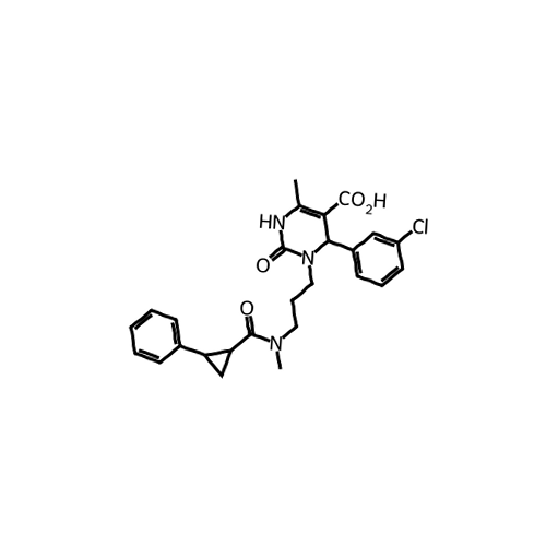 CC1=C(C(=O)O)C(c2cccc(Cl)c2)N(CCCN(C)C(=O)C2CC2c2ccccc2)C(=O)N1